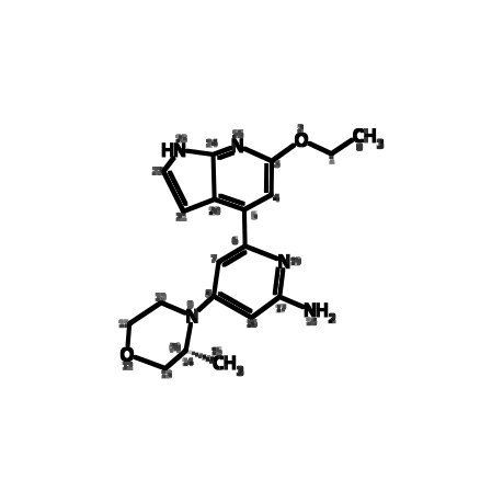 CCOc1cc(-c2cc(N3CCOC[C@H]3C)cc(N)n2)c2cc[nH]c2n1